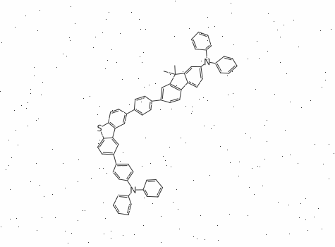 CC1(C)c2cc(-c3ccc(-c4ccc5sc6ccc(-c7ccc(N(c8ccccc8)c8ccccc8)cc7)cc6c5c4)cc3)ccc2-c2ccc(N(c3ccccc3)c3ccccc3)cc21